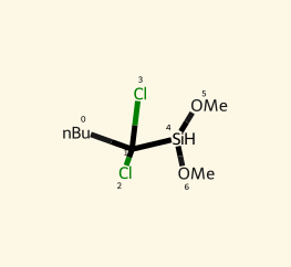 CCCCC(Cl)(Cl)[SiH](OC)OC